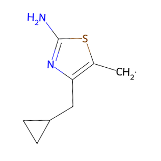 [CH2]c1sc(N)nc1CC1CC1